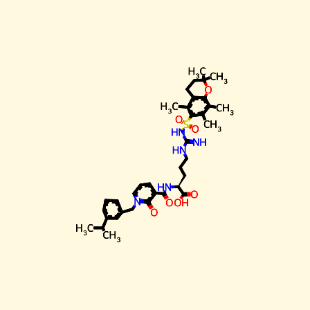 Cc1c(C)c(S(=O)(=O)NC(=N)NCCC[C@H](NC(=O)c2cccn(Cc3cccc(C(C)C)c3)c2=O)C(=O)O)c(C)c2c1OC(C)(C)CC2